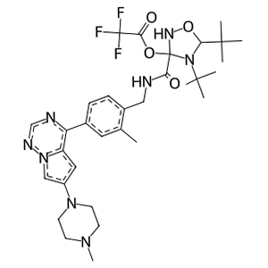 Cc1cc(-c2ncnn3cc(N4CCN(C)CC4)cc23)ccc1CNC(=O)C1(OC(=O)C(F)(F)F)NOC(C(C)(C)C)N1C(C)(C)C